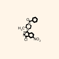 C[C@@H]1CN(C(=O)c2ccccc2)CCN1c1nnc(Cl)c2cc([N+](=O)[O-])ccc12